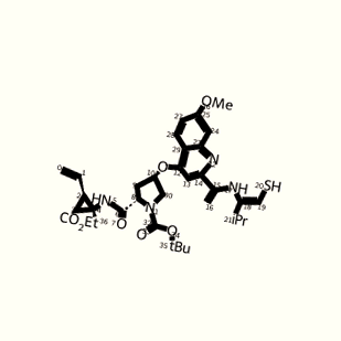 C=C[C@@H]1C[C@]1(NC(=O)[C@@H]1C[C@@H](Oc2cc(C(=C)N/C(=C\S)C(C)C)nc3cc(OC)ccc23)CN1C(=O)OC(C)(C)C)C(=O)OCC